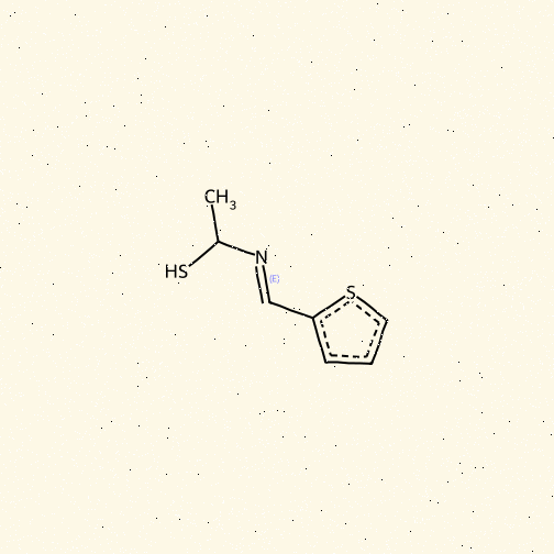 CC(S)/N=C/c1cccs1